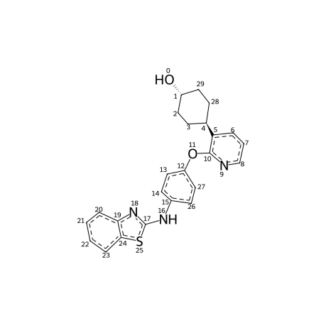 O[C@H]1CC[C@H](c2cccnc2Oc2ccc(Nc3nc4ccccc4s3)cc2)CC1